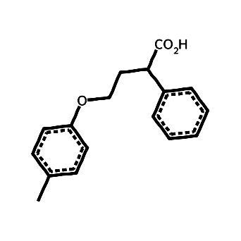 Cc1ccc(OCCC(C(=O)O)c2ccccc2)cc1